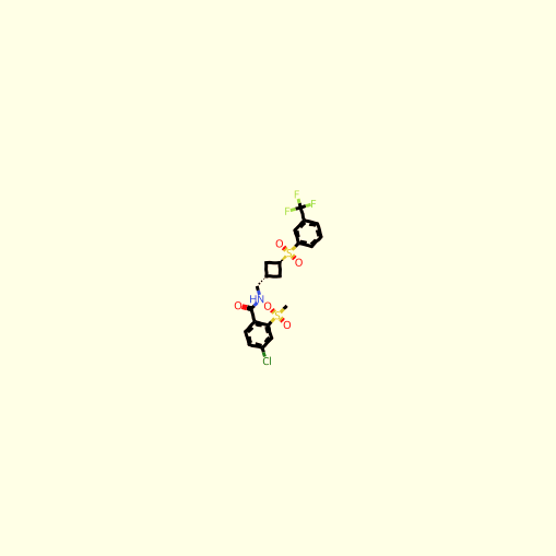 CS(=O)(=O)c1cc(Cl)ccc1C(=O)NC[C@H]1C[C@H](S(=O)(=O)c2cccc(C(F)(F)F)c2)C1